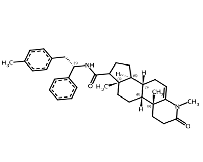 Cc1ccc(C[C@H](NC(=O)C2CC[C@H]3[C@@H]4CC=C5N(C)C(=O)CC[C@]5(C)[C@@H]4CC[C@]23C)c2ccccc2)cc1